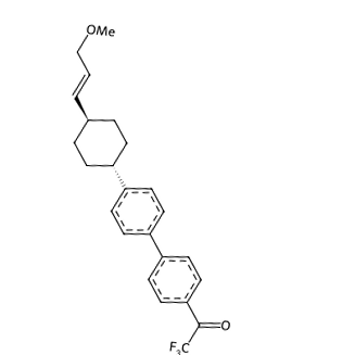 COC/C=C/[C@H]1CC[C@H](c2ccc(-c3ccc(C(=O)C(F)(F)F)cc3)cc2)CC1